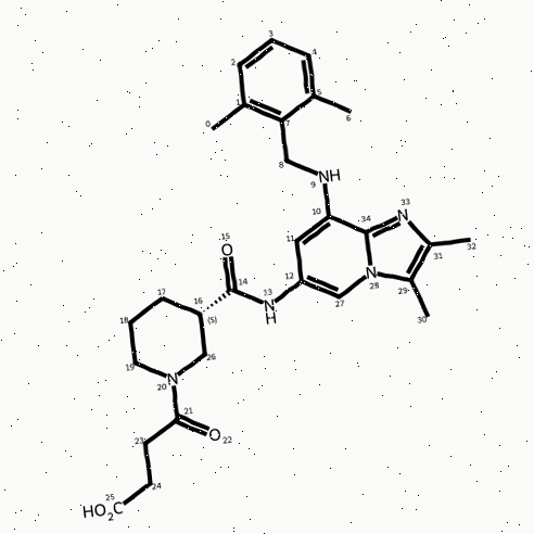 Cc1cccc(C)c1CNc1cc(NC(=O)[C@H]2CCCN(C(=O)CCC(=O)O)C2)cn2c(C)c(C)nc12